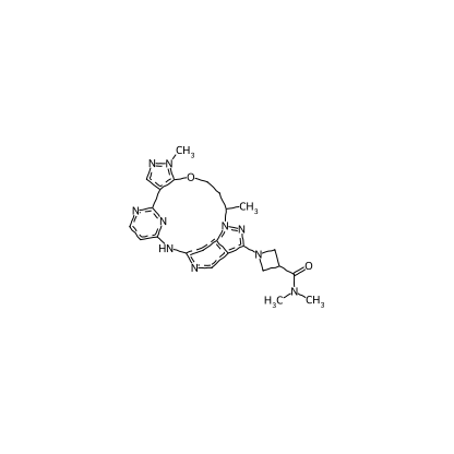 CC1CCOc2c(cnn2C)-c2nccc(n2)Nc2cc3c(cn2)c(N2CC(C(=O)N(C)C)C2)nn31